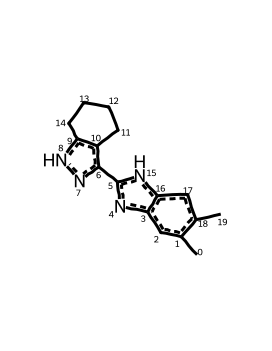 Cc1cc2nc(-c3n[nH]c4c3CCCC4)[nH]c2cc1C